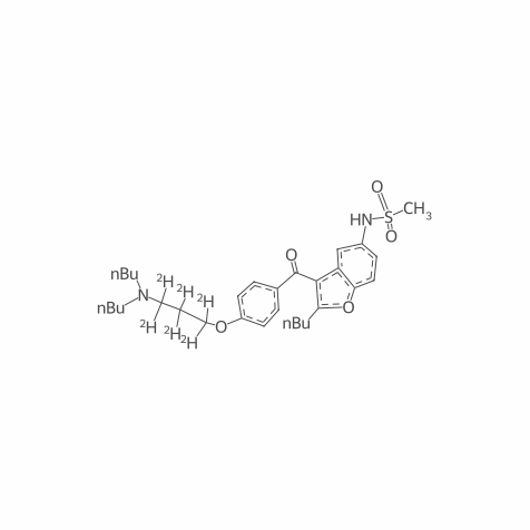 [2H]C([2H])(Oc1ccc(C(=O)c2c(CCCC)oc3ccc(NS(C)(=O)=O)cc23)cc1)C([2H])([2H])C([2H])([2H])N(CCCC)CCCC